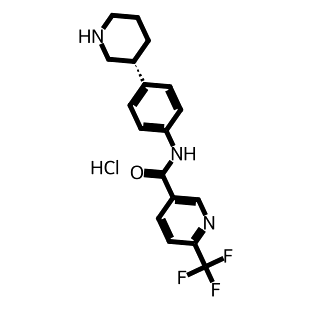 Cl.O=C(Nc1ccc([C@H]2CCCNC2)cc1)c1ccc(C(F)(F)F)nc1